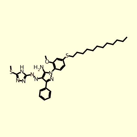 CCCCCCCCCCCCSc1ccc(-n2nc(-c3ccccc3)c(N=Nc3nnc(SC)[nH]3)c2N)c(OC)c1